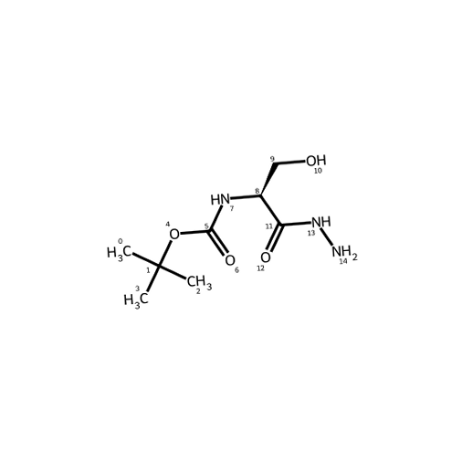 CC(C)(C)OC(=O)N[C@@H](CO)C(=O)NN